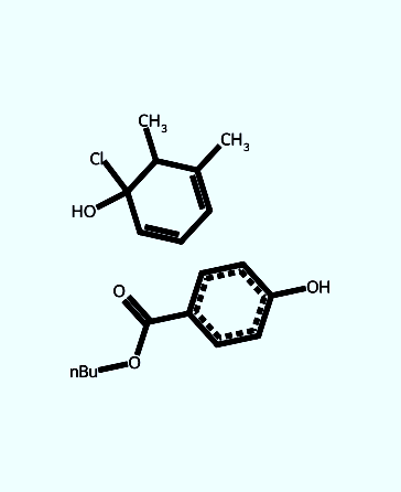 CC1=CC=CC(O)(Cl)C1C.CCCCOC(=O)c1ccc(O)cc1